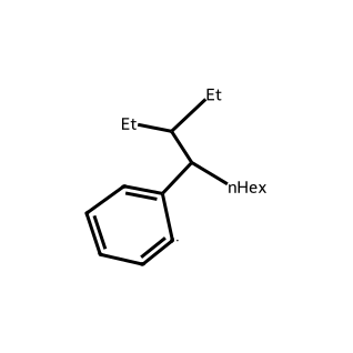 CCCCCCC(c1[c]cccc1)C(CC)CC